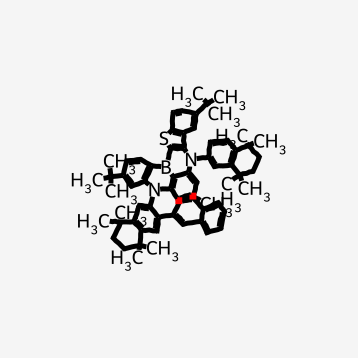 Cc1cc2c3c(c1)N(c1ccc4c(c1)C(C)(C)CCC4(C)C)c1c(sc4ccc(C(C)(C)C)cc14)B3c1ccc(C(C)(C)C)cc1N2c1cc2c(cc1-c1ccc3ccccc3c1)C(C)(C)CCC2(C)C